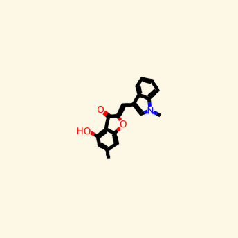 Cc1cc(O)c2c(c1)OC(=Cc1cn(C)c3ccccc13)C2=O